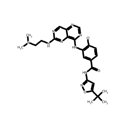 CN(C)CCNc1ncc2ncnc(Nc3cc(C(=O)Nc4cc(C(C)(C)C)on4)ccc3Cl)c2n1